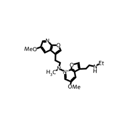 CCNCCc1coc2c1cc(OC)c[n+]2N(C)CCc1coc2ncc(OC)cc12